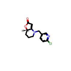 O=C1C=C2[C@H](CCCN2Cc2ccc(Cl)nc2)O1